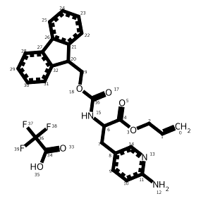 C=CCOC(=O)C(Cc1ccc(N)nc1)NC(=O)OCC1c2ccccc2-c2ccccc21.O=C(O)C(F)(F)F